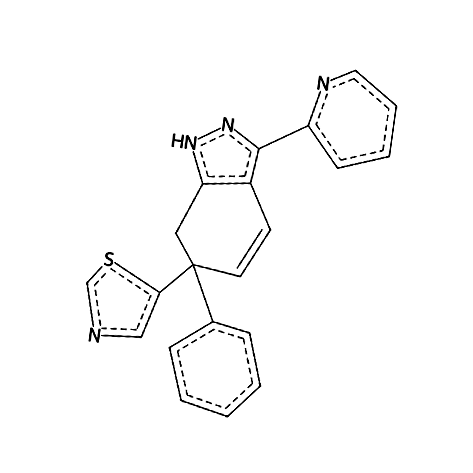 C1=CC(c2ccccc2)(c2cncs2)Cc2[nH]nc(-c3ccccn3)c21